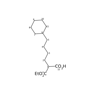 CCOC(=O)C(CCCCC1CCCCC1)C(=O)O